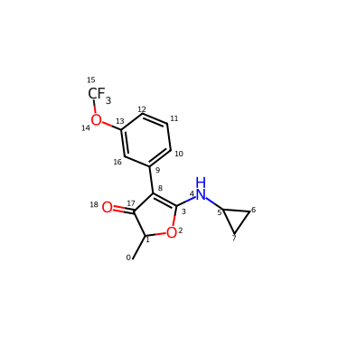 CC1OC(NC2CC2)=C(c2cccc(OC(F)(F)F)c2)C1=O